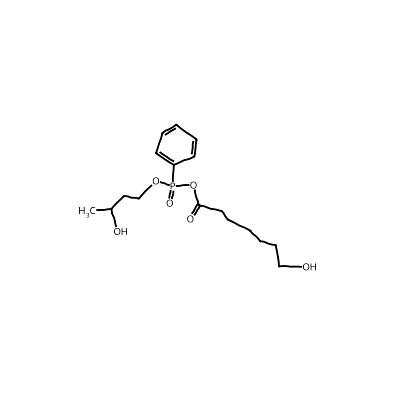 CC(O)CCOP(=O)(OC(=O)CCCCCCO)c1ccccc1